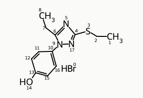 Br.CCSc1nc(CC)n(-c2ccc(O)cc2)n1